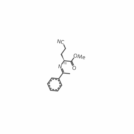 COC(=O)[C@H](CCC#N)N=C(C)c1ccccc1